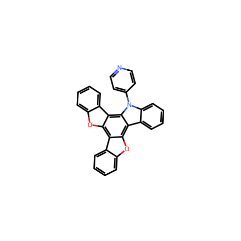 c1ccc2c(c1)oc1c2c2oc3ccccc3c2c2c1c1ccccc1n2-c1ccncc1